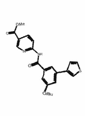 COC(=O)c1ccc(NC(=O)c2cc(OCC(C)C)cc(-c3ccsc3)c2)nc1